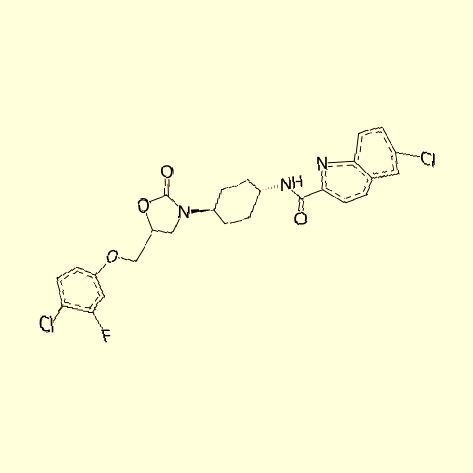 O=C(N[C@H]1CC[C@H](N2CC(COc3ccc(Cl)c(F)c3)OC2=O)CC1)c1ccc2cc(Cl)ccc2n1